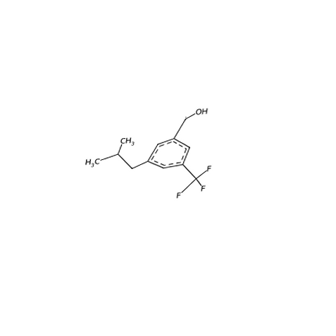 CC(C)Cc1cc([CH]O)cc(C(F)(F)F)c1